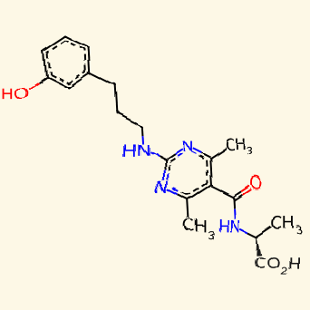 Cc1nc(NCCCc2cccc(O)c2)nc(C)c1C(=O)N[C@@H](C)C(=O)O